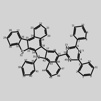 c1ccc(-c2nc(-c3ccccc3)nc(-c3cc4c5c6ccccc6c6c7ccccc7sc6c5n(-c5ccccc5)c4c4ccccc34)n2)cc1